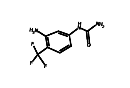 NC(=O)Nc1ccc(C(F)(F)F)c(N)c1